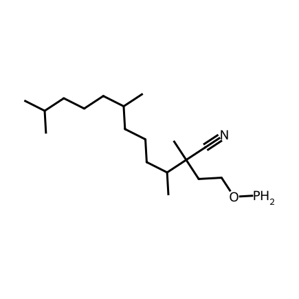 CC(C)CCCC(C)CCCC(C)C(C)(C#N)CCOP